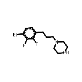 CCc1ccc(CCCN2CCPCC2)c(F)c1F